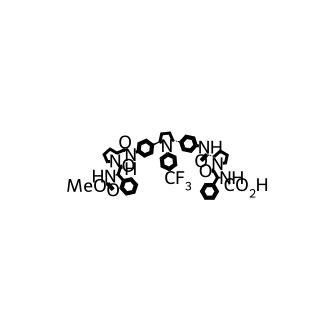 COC(=O)N[C@H](C(=O)N1CCCC1C(=O)Nc1ccc([C@H]2CC[C@H](c3ccc(NC(=O)[C@@H]4CCCN4C(=O)[C@@H](NC(=O)O)c4ccccc4)cc3)N2c2ccc(C(F)(F)F)cc2)cc1)c1ccccc1